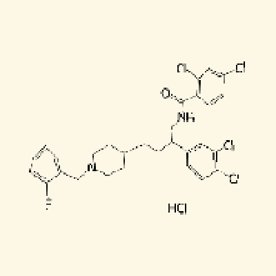 Cl.O=C(NCC(CCC1CCN(Cc2ccccc2F)CC1)c1ccc(Cl)c(Cl)c1)c1ccc(Cl)cc1Cl